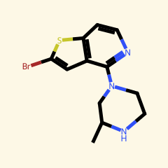 CC1CN(c2nccc3sc(Br)cc23)CCN1